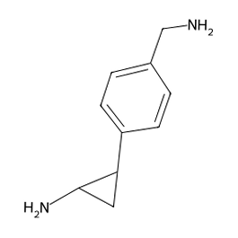 NCc1ccc(C2CC2N)cc1